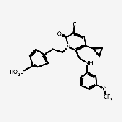 O=C(O)c1ccc(CCn2c(CNc3cccc(OC(F)(F)F)c3)c(C3CC3)cc(Cl)c2=O)cc1